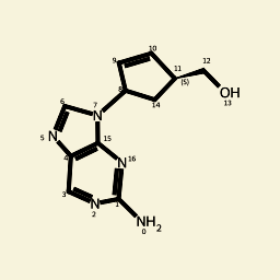 Nc1ncc2ncn(C3C=C[C@@H](CO)C3)c2n1